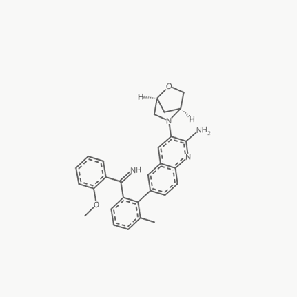 COc1ccccc1C(=N)c1cccc(C)c1-c1ccc2nc(N)c(N3C[C@@H]4C[C@H]3CO4)cc2c1